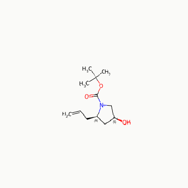 C=CC[C@@H]1C[C@H](O)CN1C(=O)OC(C)(C)C